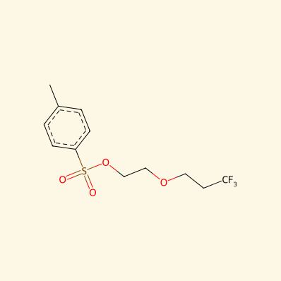 Cc1ccc(S(=O)(=O)OCCOCCC(F)(F)F)cc1